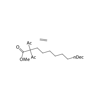 C=C.CCCCCCCCCCCCCCCCC(C(C)=O)(C(C)=O)C(=O)OC